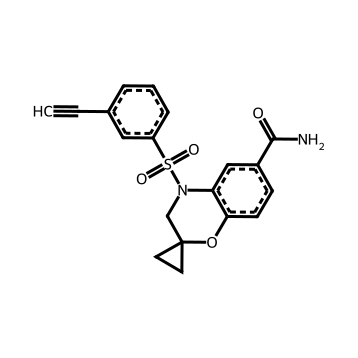 C#Cc1cccc(S(=O)(=O)N2CC3(CC3)Oc3ccc(C(N)=O)cc32)c1